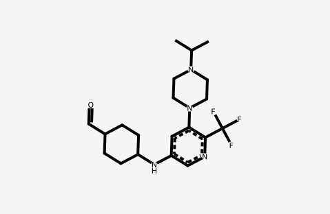 CC(C)N1CCN(c2cc(NC3CCC(C=O)CC3)cnc2C(F)(F)F)CC1